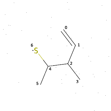 C=CC(C)C(C)[S]